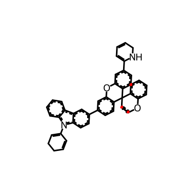 C1=CCNC(c2ccc3c(c2)Oc2cc(-c4ccc5c(c4)c4ccccc4n5C4=CCCC=C4)ccc2C32c3ccccc3Oc3ccccc32)=C1